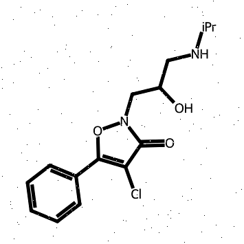 CC(C)NCC(O)Cn1oc(-c2ccccc2)c(Cl)c1=O